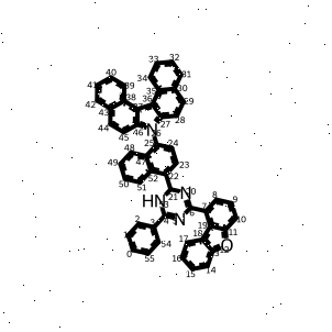 c1ccc(C2=NC(c3cccc4oc5ccccc5c34)=NC(c3ccc(-n4c5ccc6ccccc6c5c5c6ccccc6ccc54)c4ccccc34)N2)cc1